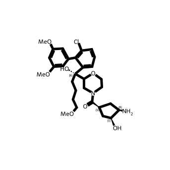 COCCCC[C@@](O)(c1cccc(Cl)c1-c1cc(OC)cc(OC)c1)C1CN(C(=O)[C@H]2C[C@@H](N)[C@@H](O)C2)CCO1